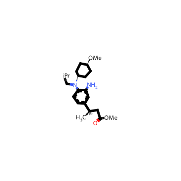 COC(=O)C[C@@H](C)c1ccc(N(CC(C)C)[C@H]2CC[C@@H](OC)CC2)c(N)c1